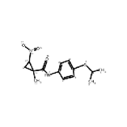 CC(C)Sc1ccc(NC(=O)C2(C)CC2[N+](=O)[O-])cc1